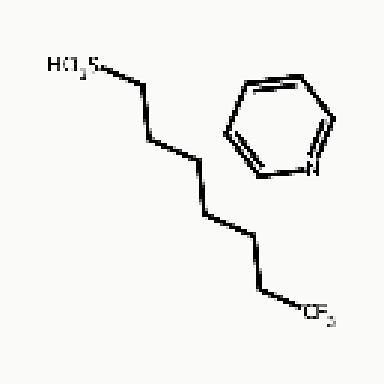 O=S(=O)(O)CCCCCCC(F)(F)F.c1ccncc1